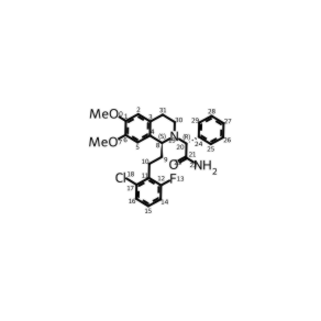 COc1cc2c(cc1OC)[C@H](CCc1c(F)cccc1Cl)N([C@@H](C(N)=O)c1ccccc1)CC2